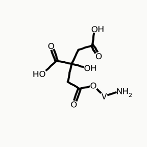 [NH2][V][O]C(=O)CC(O)(CC(=O)O)C(=O)O